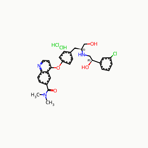 CN(C)C(=O)c1ccc2nccc(Oc3ccc(C[C@@H](CO)NC[C@H](O)c4cccc(Cl)c4)cc3)c2c1.Cl.Cl